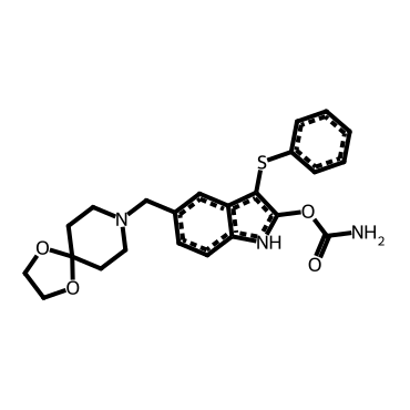 NC(=O)Oc1[nH]c2ccc(CN3CCC4(CC3)OCCO4)cc2c1Sc1ccccc1